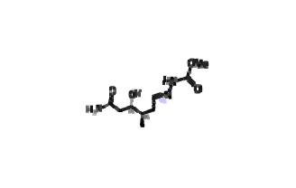 COC(=O)N/N=C/C[C@@H](C)[C@@H](O)CC(N)=O